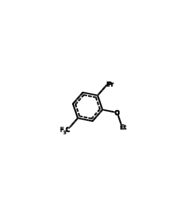 CCOc1cc(C(F)(F)F)ccc1C(C)C